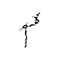 CCCCCCCC[C@@H]1[C@@H](CCSc2nc(C(=O)OCC)cs2)[C@H](Cl)C[C@H]1O